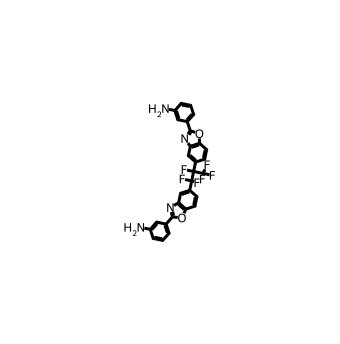 Nc1cccc(-c2nc3cc(C(F)(F)C(F)(c4ccc5oc(-c6cccc(N)c6)nc5c4)C(F)(F)F)ccc3o2)c1